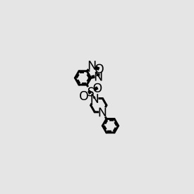 O=S(=O)(c1cccc2nonc12)N1CCN(c2ccccc2)CC1